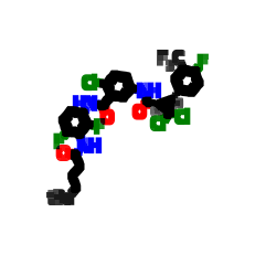 CC(C)(C)CCCC(=O)Nc1c(F)ccc(NC(=O)c2cc(NC(=O)[C@H]3[C@H](c4ccc(F)c(C(F)(F)F)c4)C3(Cl)Cl)ccc2Cl)c1F